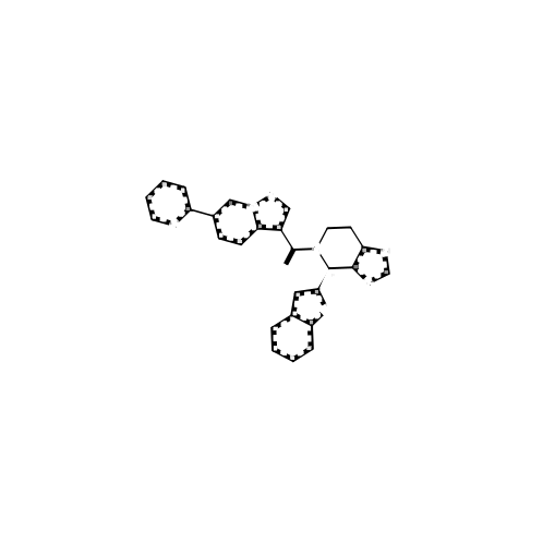 O=C(c1cnn2cc(-c3ccccn3)ccc12)N1CCc2[nH]cnc2[C@H]1c1cc2ccccc2o1